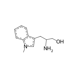 Cn1cc(CC(N)CO)c2ccccc21